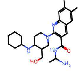 Cc1cc2cc(C(=O)NC(C)N)c(N3CCC(NC4CCCCC4)C(CO)C3)nc2cc1C